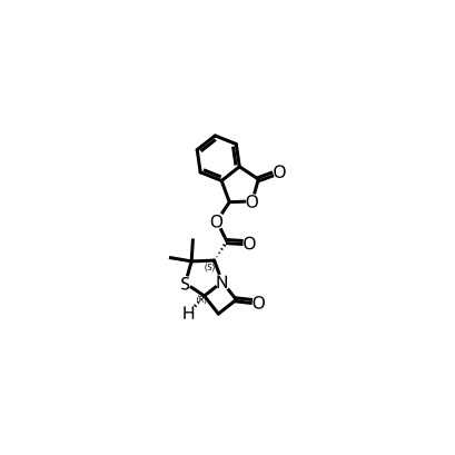 CC1(C)S[C@@H]2CC(=O)N2[C@H]1C(=O)OC1OC(=O)c2ccccc21